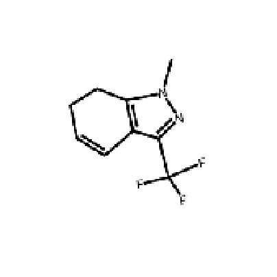 Cn1nc(C(F)(F)F)c2c1CCC=C2